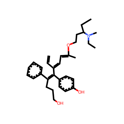 C=CC(=C\C=C(/C)OCCC(CC)N(C)CC)/C(=C(/CCCO)c1ccccc1)c1ccc(O)cc1